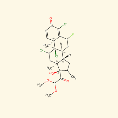 COC(OC)C(=O)[C@@]1(O)C(C)C[C@H]2[C@@H]3CC(F)C4=C(Cl)C(=O)C=C[C@]4(C)[C@@]3(Cl)C(Cl)C[C@@]21C